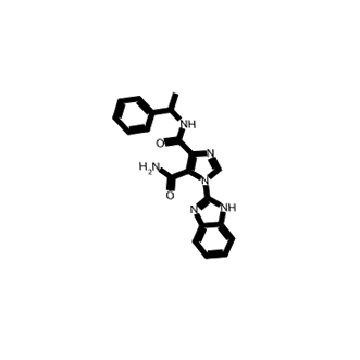 CC(NC(=O)c1ncn(-c2nc3ccccc3[nH]2)c1C(N)=O)c1ccccc1